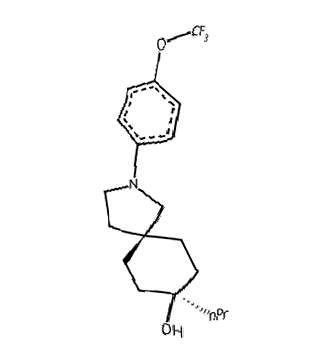 CCC[C@]1(O)CC[C@]2(CCN(c3ccc(OC(F)(F)F)cc3)C2)CC1